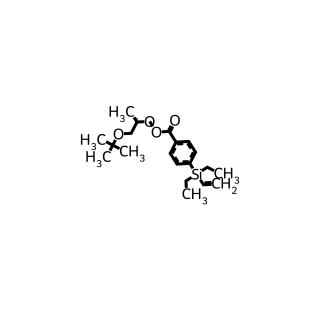 C=C[Si](CC)(CC)c1ccc(C(=O)OO[C](C)COC(C)(C)C)cc1